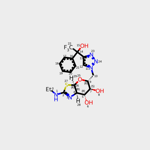 CCNC1=N[C@@H]2[C@@H](O)[C@H](O)[C@@H](Cn3cc(C(O)(c4ccccc4)C(F)(F)F)nn3)O[C@@H]2S1